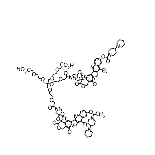 C=C(Oc1ccc2nc3c(c(CC)c2c1)Cn1c-3cc2c(c1=O)COC(=O)C2(CC)OC(=O)CNC(=O)COCCOCC(COCCOCC(=O)O)(COCCOCC(=O)O)OCCOCC(=O)NCC(=O)OC1(CC)C(=O)OCc2c1cc1n(c2=O)Cc2c-1nc1ccc(OC(=O)N3CCC(N4CCCCC4)CC3)cc1c2CC)N1CCC(N2CCCCC2)CC1